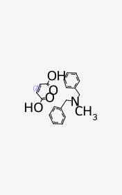 CN(Cc1ccccc1)Cc1ccccc1.O=C(O)/C=C\C(=O)O